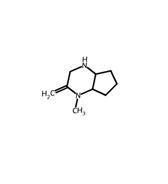 C=C1CNC2CCCC2N1C